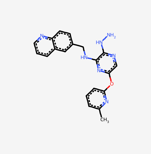 Cc1cccc(Oc2cnc(NN)c(NCc3ccc4ncccc4c3)n2)n1